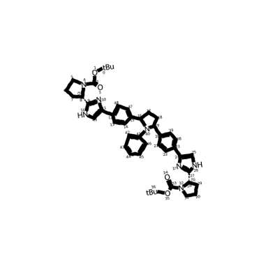 CC(C)(C)OC(=O)N1CCC[C@H]1c1nc(-c2ccc(C3CCC(c4ccc(-c5c[nH]c([C@@H]6CCCN6C(=O)OC(C)(C)C)n5)cc4)N3c3ccccc3)cc2)c[nH]1